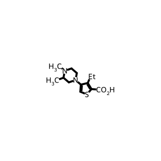 CCc1c(N2CCN(C)C(C)C2)csc1C(=O)O